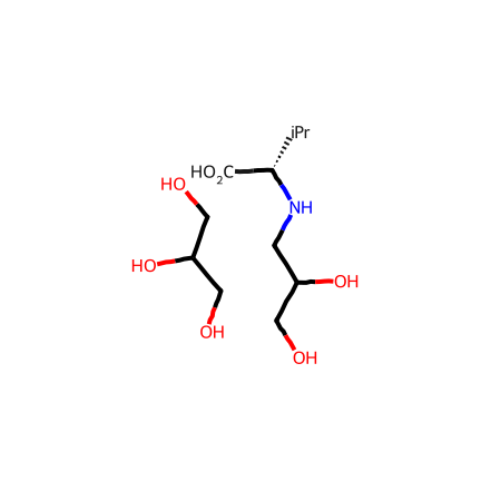 CC(C)[C@H](NCC(O)CO)C(=O)O.OCC(O)CO